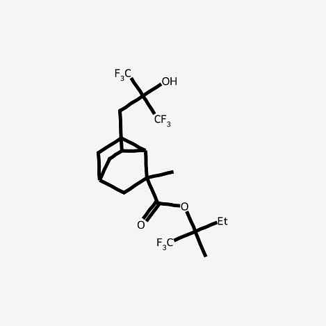 CCC(C)(OC(=O)C1(C)CC2CCC1C(CC(O)(C(F)(F)F)C(F)(F)F)C2)C(F)(F)F